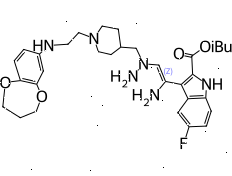 CC(C)COC(=O)c1[nH]c2ccc(F)cc2c1/C(N)=C/N(N)CC1CCN(CCNc2ccc3c(c2)OCCCO3)CC1